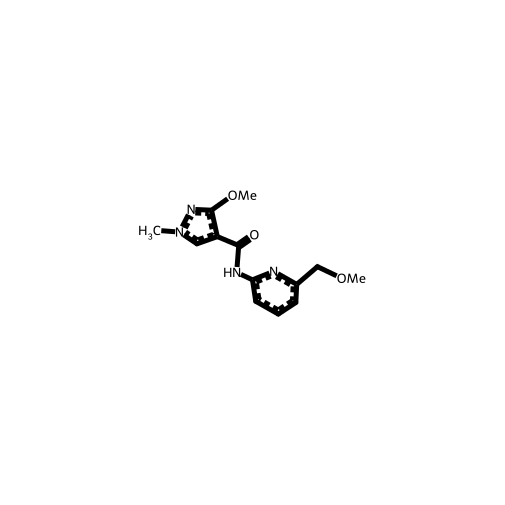 COCc1cccc(NC(=O)c2cn(C)nc2OC)n1